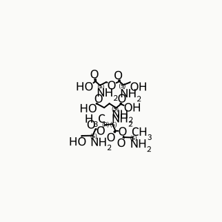 C[C@H](N)C(=O)OC(=O)[C@@H](N)[C@@H](C)OC(=O)[C@@H](N)CO.N[C@@H](CCC(=O)O)C(=O)O.N[C@@H](COC(=O)[C@@H](N)CO)C(=O)O